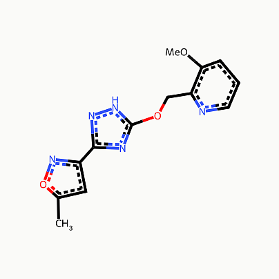 COc1cccnc1COc1nc(-c2cc(C)on2)n[nH]1